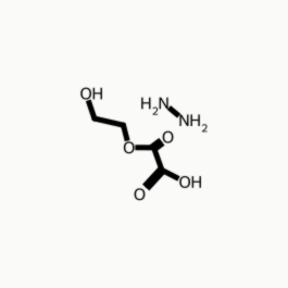 NN.O=C(O)C(=O)OCCO